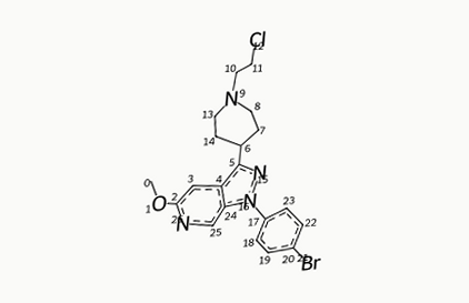 COc1cc2c(C3CCN(CCCl)CC3)nn(-c3ccc(Br)cc3)c2cn1